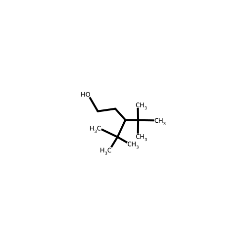 CC(C)(C)C(CCO)C(C)(C)C